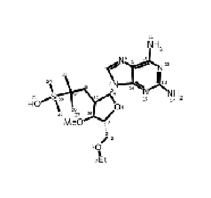 CCOC[C@H]1O[C@@H](n2cnc3c(N)nc(N)nc32)C(CC(C)(C)[Si](C)(C)O)C1OC